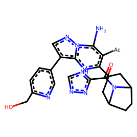 CC(=O)c1c(C2CC3CCC(C2)N3C(=O)c2nnc[nH]2)nc2c(-c3ccc(CO)nc3)cnn2c1N